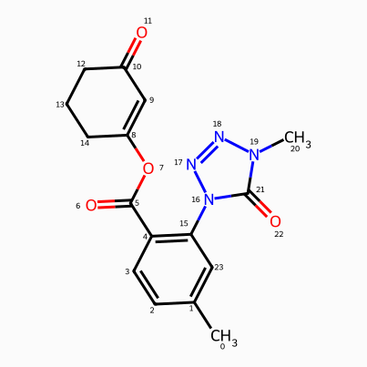 Cc1ccc(C(=O)OC2=CC(=O)CCC2)c(-n2nnn(C)c2=O)c1